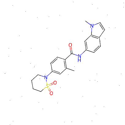 Cc1cc(N2CCCCS2(=O)=O)ccc1C(=O)Nc1ccc2ccn(C)c2c1